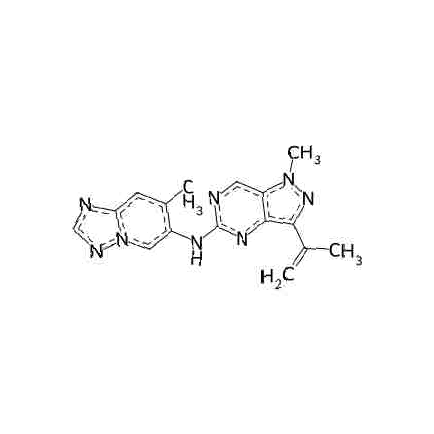 C=C(C)c1nn(C)c2cnc(Nc3cn4ncnc4cc3C)nc12